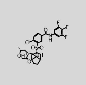 CC(=O)N(C[C@@H](C)O)C[C@]1(O)C2CCC1C[C@@H](S(=O)(=O)c1cc(C(=O)Nc3cc(F)c(F)c(F)c3)ccc1Cl)C2